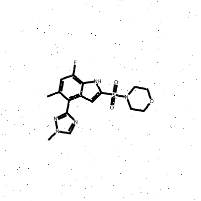 Cc1cc(F)c2[nH]c(S(=O)(=O)N3CCOCC3)cc2c1-c1ncn(C)n1